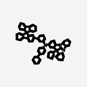 c1ccc(-c2ccc(N(c3cccc(-c4ccc5c(c4)C4(c6ccccc6-c6ccccc64)c4ccccc4-5)c3)c3ccc4c(c3)C(c3ccccc3)(c3ccccc3)c3nc5ccccc5n3-4)cc2)cc1